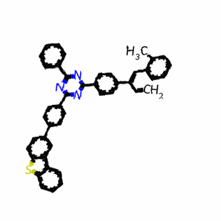 C=C/C(=C\c1ccccc1C)c1ccc(-c2nc(-c3ccccc3)nc(-c3ccc(-c4ccc5sc6ccccc6c5c4)cc3)n2)cc1